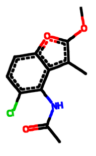 COc1oc2ccc(Cl)c(NC(C)=O)c2c1C